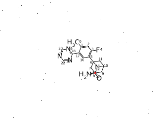 Cc1cc(F)c(C23CCCC(C2)N3C(N)=O)cc1-c1ncncn1